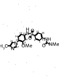 CNC(=O)Nc1ccc(S(=O)(=O)Nc2ccc(-n3cnc(C)c3)c(OC)c2)cc1